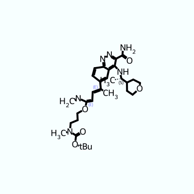 C=N/C(=C\C=C(/C)c1ccc2nnc(C(N)=O)c(N[C@@H](C)C3CCOCC3)c2c1)OCCCN(C)C(=O)OC(C)(C)C